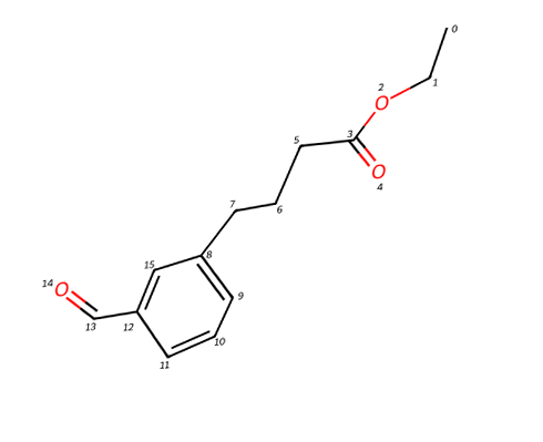 CCOC(=O)CCCc1cccc(C=O)c1